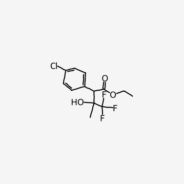 CCOC(=O)C(c1ccc(Cl)cc1)C(C)(O)C(F)(F)F